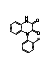 O=c1[nH]c2ccccc2n(-c2ccccc2F)c1=O